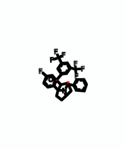 O=C(c1cc(C(F)(F)F)cc(C(F)(F)F)c1)C1CCC2CCC1(c1ccc(F)cc1)N2Cc1ccccc1